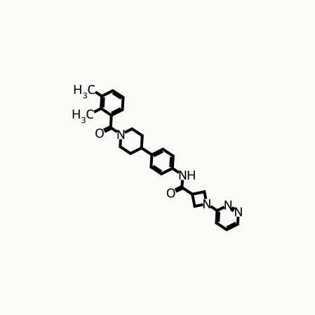 Cc1cccc(C(=O)N2CCC(c3ccc(NC(=O)C4CN(c5cccnn5)C4)cc3)CC2)c1C